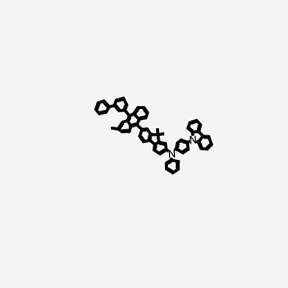 Cc1ccc2c(-c3ccc4c(c3)C(C)(C)c3cc(N(c5ccccc5)c5ccc(-n6c7ccccc7c7ccccc76)cc5)ccc3-4)c3ccccc3c(-c3cccc(-c4ccccc4)c3)c2c1